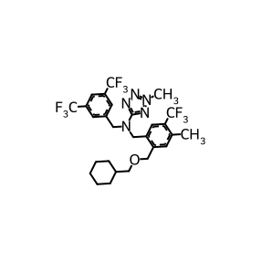 Cc1cc(COCC2CCCCC2)c(CN(Cc2cc(C(F)(F)F)cc(C(F)(F)F)c2)c2nnn(C)n2)cc1C(F)(F)F